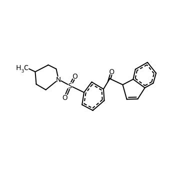 CC1CCN(S(=O)(=O)c2cccc(C(=O)C3C=Cc4ccccc43)c2)CC1